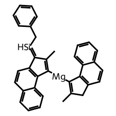 CC1=[C]([Mg][C]2=C(C)C(=[SiH]Cc3ccccc3)c3ccc4ccccc4c32)c2c(ccc3ccccc23)C1